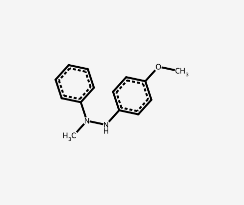 COc1ccc(NN(C)c2ccccc2)cc1